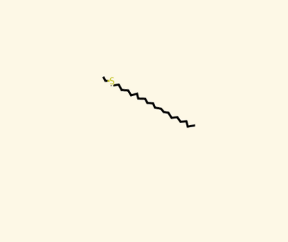 CCCCCCCCCCCCCCCCCCC[CH]SCC